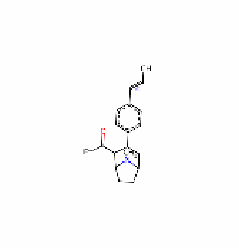 C/C=C/c1ccc(C2CC3CCC(C2C(=O)CC)N3C)cc1